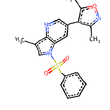 Cc1noc(C)c1-c1cnc2c(C)cn(S(=O)(=O)c3ccccc3)c2c1